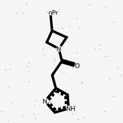 CCCC1CN(C(=O)Cc2c[nH]cn2)C1